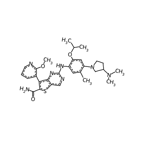 COc1ncccc1-c1c(C(N)=O)sc2cnc(Nc3cc(C)c(N4CCC(N(C)C)C4)cc3OC(C)C)nc12